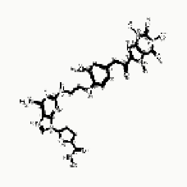 CCNC(=O)C1CCC(n2cnc3c(N)nc(NCCOc4ccc(CC(=O)c5nc6c(c(=O)n(CC)c(=O)n6CC)n5C)cc4OC)nc32)O1